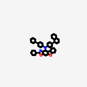 c1ccc(-c2ccc(N(c3ccc(-c4cccc5ccccc45)cc3)c3c4nc(-c5ccccc5)oc4cc4oc5ccccc5c34)cc2)cc1